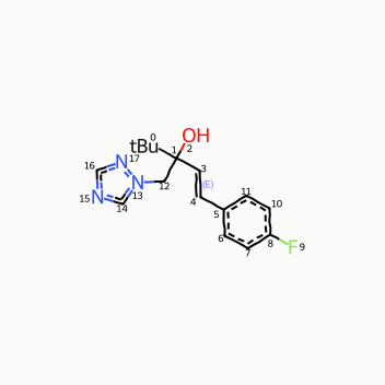 CC(C)(C)C(O)(/C=C/c1ccc(F)cc1)Cn1cncn1